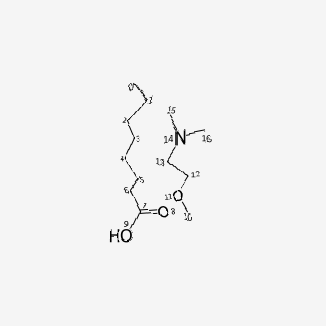 CCCCCCCC(=O)O.COCCN(C)C